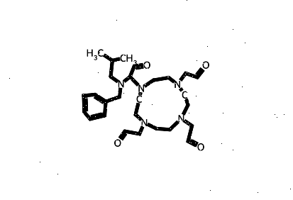 CC(C)CN(Cc1ccccc1)C(C=O)N1CCN(CC=O)CCN(CC=O)CCN(CC=O)CC1